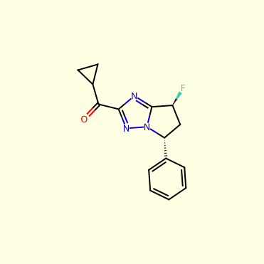 O=C(c1nc2n(n1)[C@@H](c1ccccc1)C[C@@H]2F)C1CC1